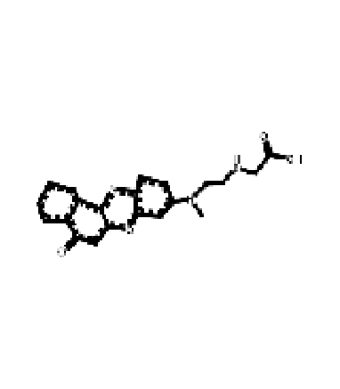 CN(CCBCC(=O)O)c1ccc2nc3c4ccccc4c(=O)cc-3oc2c1